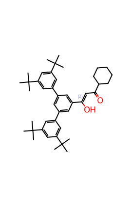 CC(C)(C)c1cc(-c2cc(/C(O)=C/C(=O)C3CCCCC3)cc(-c3cc(C(C)(C)C)cc(C(C)(C)C)c3)c2)cc(C(C)(C)C)c1